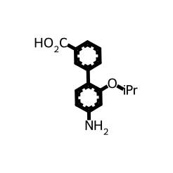 CC(C)Oc1cc(N)ccc1-c1cccc(C(=O)O)c1